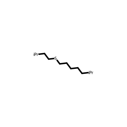 CC(C)CCCCCSCCC(C)C